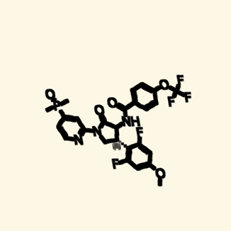 COc1cc(F)c([C@@H]2CN(c3cc(P(C)(C)=O)ccn3)C(=O)C2NC(=O)c2ccc(OC(F)(F)F)cc2)c(F)c1